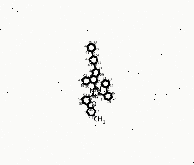 CC1C=Cc2c(oc3c(-c4nc(-c5ccccc5-c5ccccc5)nc(-c5cc6ccc(-c7ccc(-c8ccccc8)cc7)cc6c6ccccc56)n4)cccc23)C1